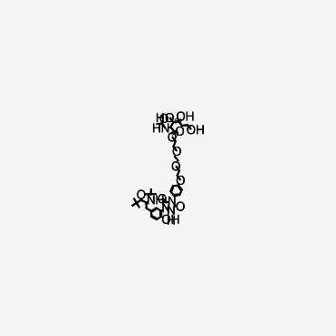 CC(=O)NC1C(O)[C@@H](O)C(CO)O[C@H]1OCCOCCOCCOc1ccc(-n2c(=O)[nH]n(-c3cc(CC(NC(C)(C)C)C(=O)C(C)(C)C)ccc3O)c2=O)cc1